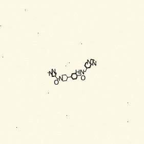 Cn1cc(C(=O)N2CCC(c3ccc(C(=O)NCc4ccn5ccnc5c4)cc3)CC2)cn1